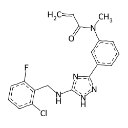 C=CC(=O)N(C)c1cccc(-c2n[nH]c(NCc3c(F)cccc3Cl)n2)c1